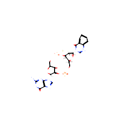 Nc1nc2c(ncn2[C@@H]2OC3COP(=O)(S)O[C@H]4[C@@H](F)[C@H](n5cnc6ccccc6c5=O)O[C@@H]4COP(=O)(S)O[C@@H]2[C@@H]3O)c(=O)[nH]1